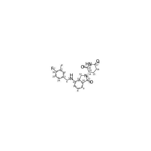 Cc1cc(CNc2cccc3c2CN([C@H]2CCC(=O)NC2=O)C3=O)ccc1F